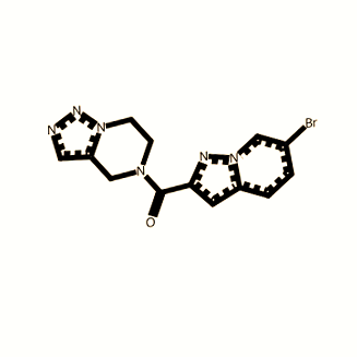 O=C(c1cc2ccc(Br)cn2n1)N1CCn2nncc2C1